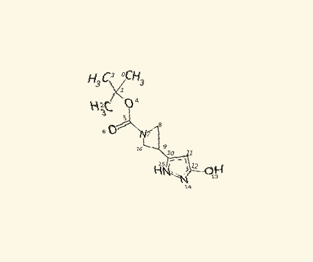 CC(C)(C)OC(=O)N1CC(c2cc(O)n[nH]2)C1